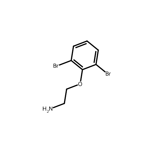 NCCOc1c(Br)cccc1Br